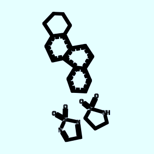 O=S1(=O)CCCN1.O=S1(=O)N=CC=N1.c1ccc2c(c1)ccc1c3c(ccc12)CCCC3